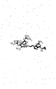 CC(C)OC(=O)[C@H](C)NP(=O)(COCCn1cnc2c(NC3CC3)nc(N)nc21)N[C@@H](C)C(=O)OC(C)C